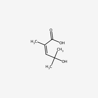 CC(=CC(C)(C)O)C(=O)O